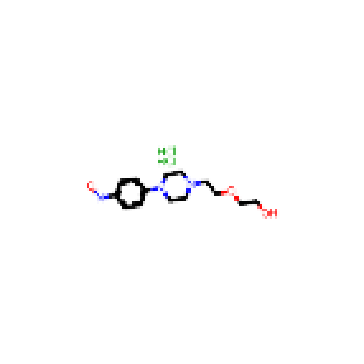 Cl.Cl.O=Nc1ccc(N2CCN(CCOCCO)CC2)cc1